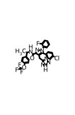 C[C@@H](NC(=O)c1nn(-c2ccccc2F)c(-c2ccc(Cl)cc2)c1Cc1nn[nH]n1)c1ccc(OC(F)(F)F)cc1